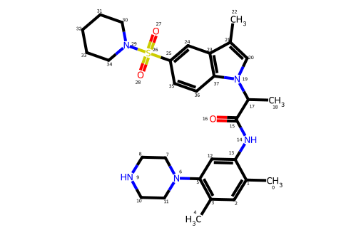 Cc1cc(C)c(N2CCNCC2)cc1NC(=O)C(C)n1cc(C)c2cc(S(=O)(=O)N3CCCCC3)ccc21